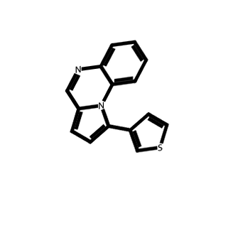 c1ccc2c(c1)ncc1ccc(-c3ccsc3)n12